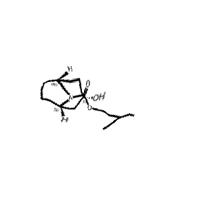 CC(C)COC(=O)N1[C@@H]2CC[C@H]1C[C@@H](O)C2